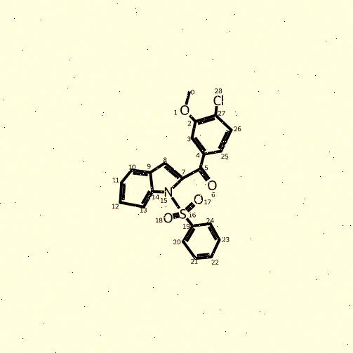 COc1cc(C(=O)c2cc3ccccc3n2S(=O)(=O)c2ccccc2)ccc1Cl